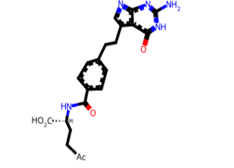 CC(=O)CC[C@@H](NC(=O)c1ccc(CCc2c[nH]c3nc(N)[nH]c(=O)c23)cc1)C(=O)O